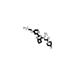 CCCOc1ccnc(-c2nc3c(c(N(C)CC(=O)N4CCC(F)CC4)n2)CCC3)c1